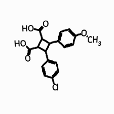 COc1ccc(C2C(C(=O)O)C(C(=O)O)C2c2ccc(Cl)cc2)cc1